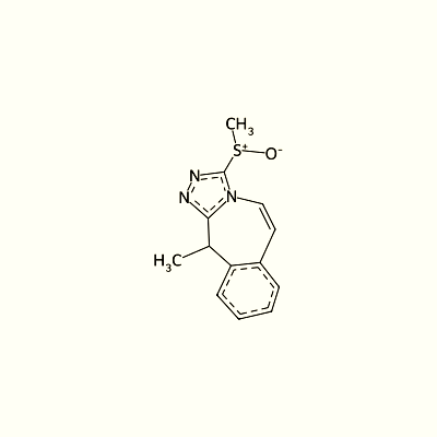 CC1c2ccccc2C=Cn2c1nnc2[S+](C)[O-]